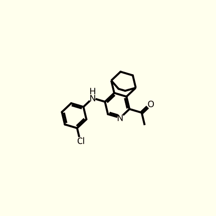 CC(=O)c1ncc(Nc2cccc(Cl)c2)c2c1C1CCC2CC1